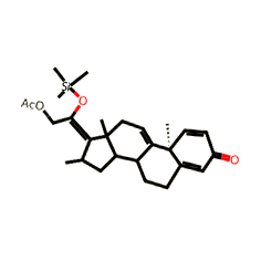 CC(=O)OC/C(O[Si](C)(C)C)=C1\C(C)CC2C3CCC4=CC(=O)C=C[C@]4(C)C3=CCC12C